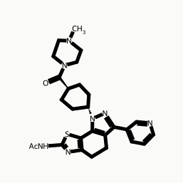 CC(=O)Nc1nc2c(s1)-c1c(c(-c3cccnc3)nn1[C@H]1CC[C@H](C(=O)N3CCN(C)CC3)CC1)CC2